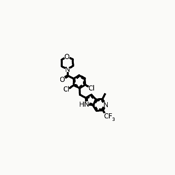 Cc1nc(C(F)(F)F)cc2[nH]c(Cc3c(Cl)ccc(C(=O)N4CCOCC4)c3Cl)cc12